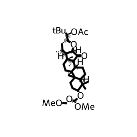 COCO[C@H](OC)OC1CCC23C[C@]24CC[C@]2(C)[C@H]5[C@H](C)C[C@H]([C@H](OC(C)=O)C(C)(C)C)O[C@@H]5C(=O)[C@@]2(C)[C@@H]4CC[C@H]3C1(C)C